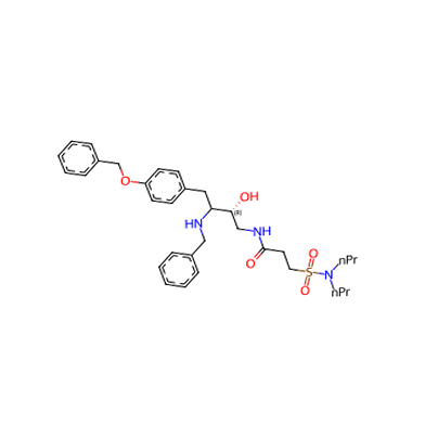 CCCN(CCC)S(=O)(=O)CCC(=O)NC[C@@H](O)C(Cc1ccc(OCc2ccccc2)cc1)NCc1ccccc1